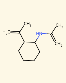 C=C(C)NC1CCCCC1C(=C)C